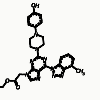 CCOC(=O)Cn1cnc2c(-n3nnc4c(C)cccc43)nc(N3CCN(c4ccc(O)cc4)CC3)nc21